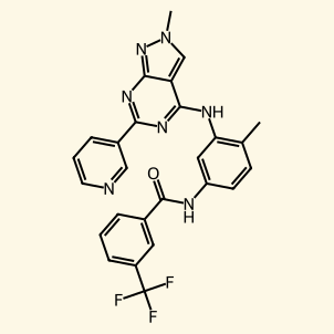 Cc1ccc(NC(=O)c2cccc(C(F)(F)F)c2)cc1Nc1nc(-c2cccnc2)nc2nn(C)cc12